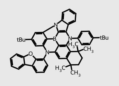 CC(C)(C)c1ccc(N2c3c4c(cc5c3C(C)(C)CCC5(C)C)N(c3cccc5c3oc3ccccc35)c3cc(C(C)(C)C)cc5c3B4c3c2c2ccccc2n3-5)cc1